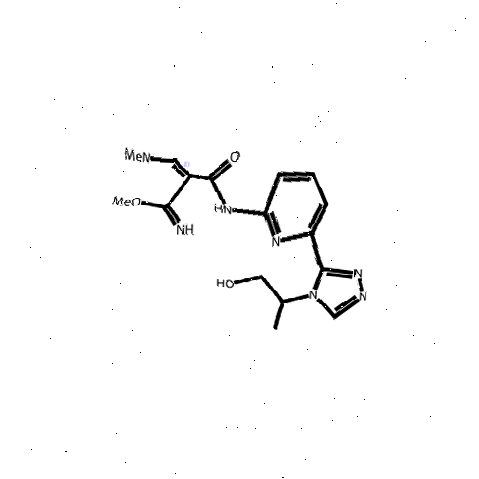 CN/C=C(\C(=N)OC)C(=O)Nc1cccc(-c2nncn2C(C)CO)n1